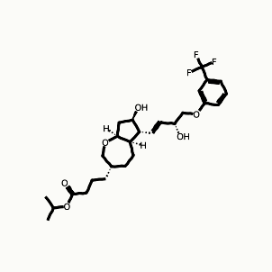 CC(C)OC(=O)CCC[C@H]1CC[C@@H]2[C@@H](C=C[C@@H](O)COc3cccc(C(F)(F)F)c3)[C@H](O)C[C@@H]2OC1